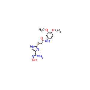 COc1ccc(NC(=O)CSc2nc(/C(N)=N/O)c[nH]2)cc1OC